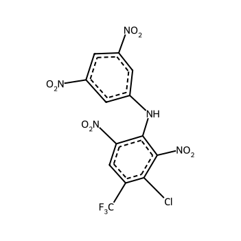 O=[N+]([O-])c1cc(Nc2c([N+](=O)[O-])cc(C(F)(F)F)c(Cl)c2[N+](=O)[O-])cc([N+](=O)[O-])c1